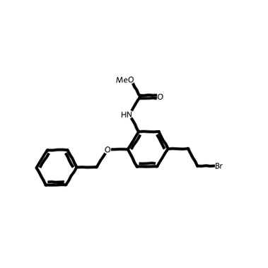 COC(=O)Nc1cc(CCBr)ccc1OCc1ccccc1